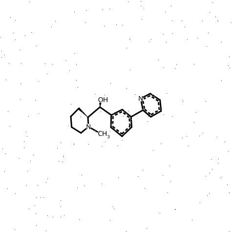 CN1CCCC[C@H]1[C@@H](O)c1cccc(-c2ccccn2)c1